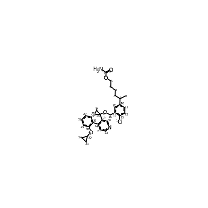 CC(CCCCOC(N)=O)c1ccc(Cl)c(COC2(c3cnccc3-c3ccccc3OC3CC3)CC2)c1